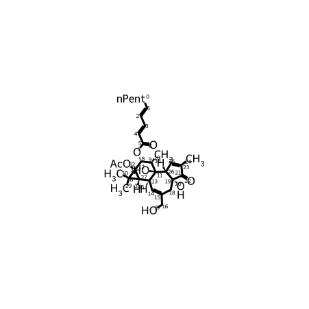 CCCCC/C=C/C=C/C(=O)O[C@@H]1[C@@H](C)[C@@]2(O)[C@@H](C=C(CO)C[C@]3(O)C(=O)C(C)=C[C@@H]23)[C@@H]2C(C)(C)[C@]12OC(C)=O